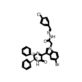 O=C(Cn1cc(C2=N[C@@H](c3ccccc3)[C@H](c3ccccc3)NC2=O)c2cc(Br)ccc21)NN=Cc1ccc(Cl)cc1